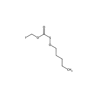 CCCCCOSC(=O)OCI